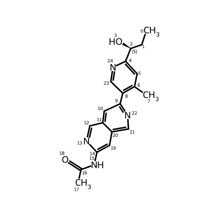 CC[C@H](O)c1cc(C)c(-c2cc3cnc(NC(C)=O)cc3cn2)cn1